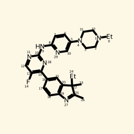 CCN1CCN(c2ccc(Nc3ncc(F)c(-c4ccc5c(c4)C(C)(CC)C(C)=N5)n3)nc2)CC1